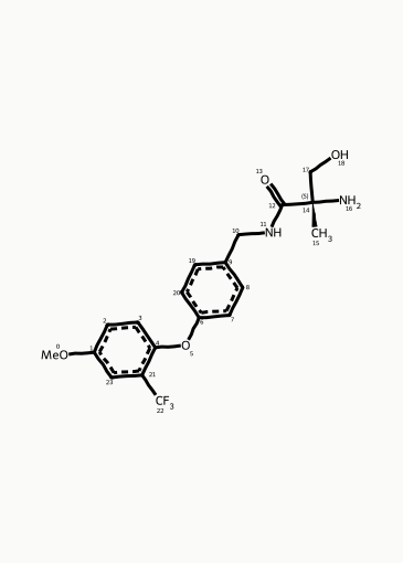 COc1ccc(Oc2ccc(CNC(=O)[C@@](C)(N)CO)cc2)c(C(F)(F)F)c1